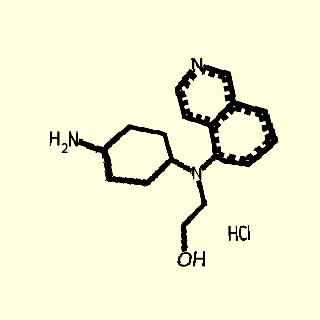 Cl.NC1CCC(N(CCO)c2cccc3cnccc23)CC1